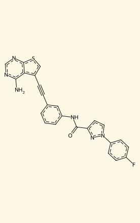 Nc1ncnc2scc(C#Cc3cccc(NC(=O)c4ccn(-c5ccc(F)cc5)n4)c3)c12